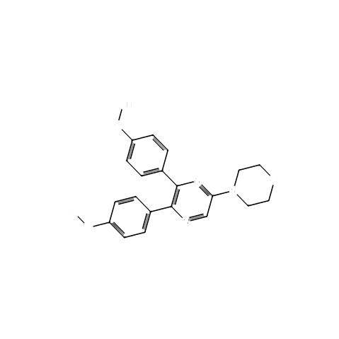 COc1ccc(-c2ncc(N3CCOCC3)nc2-c2ccc(OC)cc2)cc1